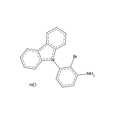 Cl.Nc1cccc(-n2c3ccccc3c3ccccc32)c1Br